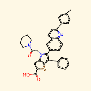 Cc1ccc(-c2ccc3cc(-c4c(-c5ccccc5)c5sc(C(=O)O)cc5n4CC(=O)N4CCCCC4)ccc3n2)cc1